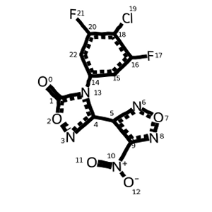 O=c1onc(-c2nonc2[N+](=O)[O-])n1-c1cc(F)c(Cl)c(F)c1